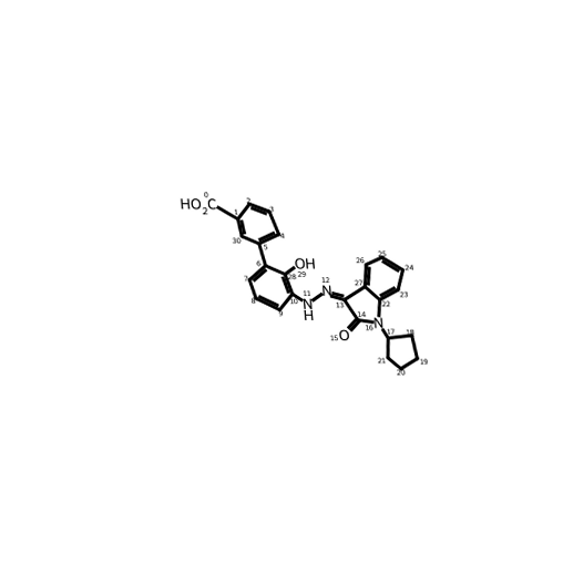 O=C(O)c1cccc(-c2cccc(NN=C3C(=O)N(C4CCCC4)c4ccccc43)c2O)c1